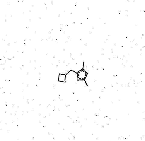 Cc1cc(C)n(CC2CCO2)n1